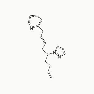 C=CCC[C](CC=CCc1ccccn1)n1cccn1